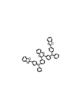 c1ccc(N(c2ccc(-c3nc4ccccc4o3)cc2)c2cccc(-c3nc4ccccc4nc3-c3cccc(N(c4ccccc4)c4ccc(-c5nc6ccccc6o5)cc4)c3)c2)cc1